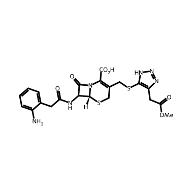 COC(=O)Cc1nn[nH]c1SCC1=C(C(=O)O)N2C(=O)C(NC(=O)Cc3ccccc3N)[C@H]2SC1